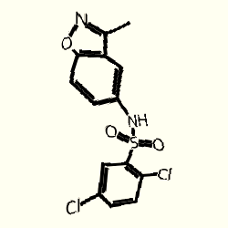 Cc1noc2ccc(NS(=O)(=O)c3cc(Cl)ccc3Cl)cc12